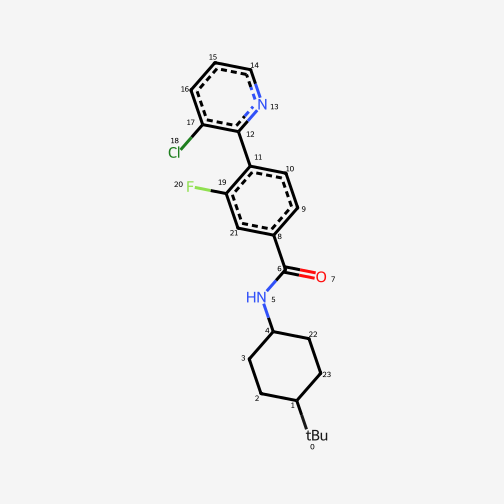 CC(C)(C)C1CCC(NC(=O)c2ccc(-c3ncccc3Cl)c(F)c2)CC1